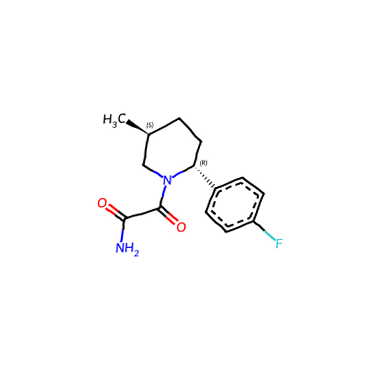 C[C@H]1CC[C@H](c2ccc(F)cc2)N(C(=O)C(N)=O)C1